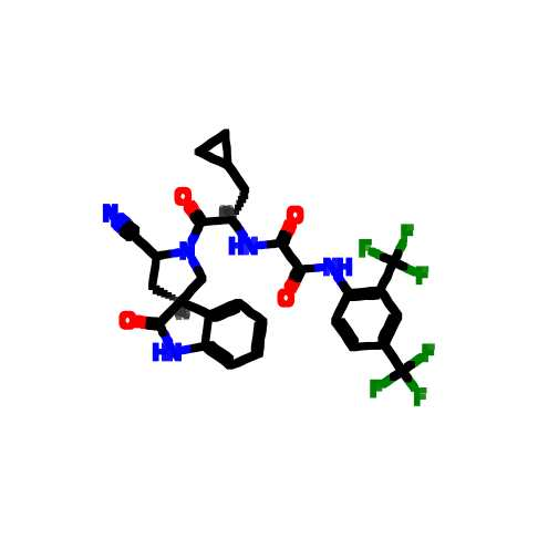 N#CC1C[C@@]2(CN1C(=O)[C@H](CC1CC1)NC(=O)C(=O)Nc1ccc(C(F)(F)F)cc1C(F)(F)F)C(=O)Nc1ccccc12